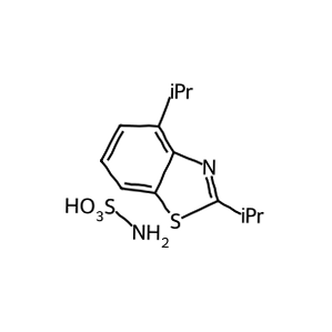 CC(C)c1nc2c(C(C)C)cccc2s1.NS(=O)(=O)O